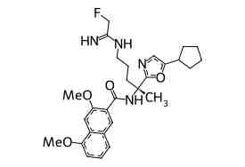 COc1cc2c(OC)cccc2cc1C(=O)N[C@](C)(CCCNC(=N)CF)c1ncc(C2CCCC2)o1